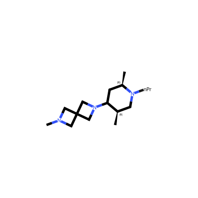 CCCN1C[C@@H](C)C(N2CC3(CN(C)C3)C2)C[C@H]1C